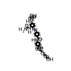 NC(=O)Nc1cc(NCS(=O)(=O)O)ccc1/N=N/c1ccc(C(=O)Nc2ccc(S(=O)(=O)CCOSOOO)cc2)cc1